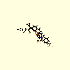 CC[C@H](c1cc(C(F)(F)F)ccc1C(F)(F)F)N1CCC2(CCc3ccc([C@H](C4CC4)[C@H](C)C(=O)O)cc3O2)CC1